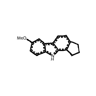 COc1ccc2[nH]c3c4c(ccc3c2c1)CCC4